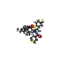 COC(c1ccc([C@]2([S+]([O-])c3ccc(F)cc3)CCN(C(=O)C3CCSCC3)C2)cc1F)(C(F)(F)F)C(F)(F)F